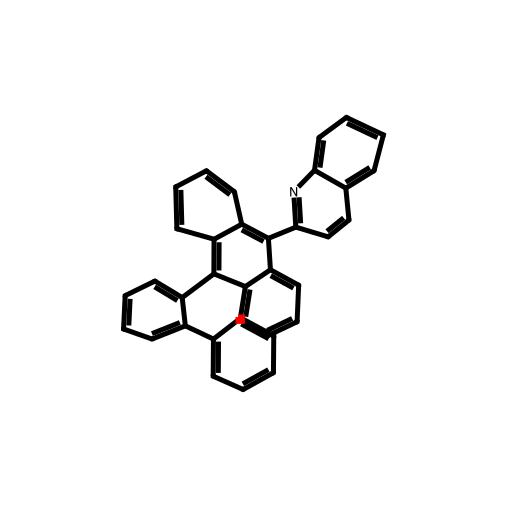 c1ccc(-c2ccccc2-c2c3ccccc3c(-c3ccc4ccccc4n3)c3ccccc23)cc1